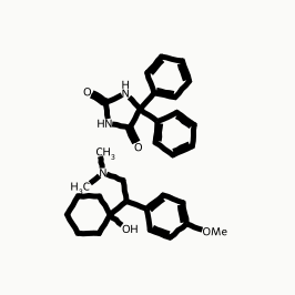 COc1ccc(C(CN(C)C)C2(O)CCCCC2)cc1.O=C1NC(=O)C(c2ccccc2)(c2ccccc2)N1